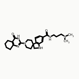 CN(C)CCCNC(=O)c1ccc2c(c1)NCC21CCN(c2nc3c(c(=O)[nH]2)CCCC3)CC1